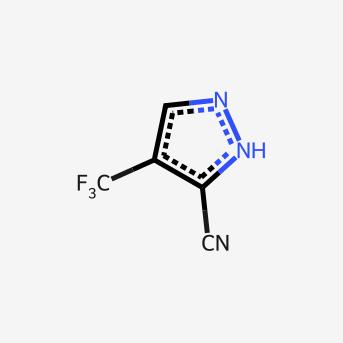 N#Cc1[nH]ncc1C(F)(F)F